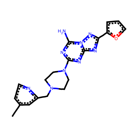 Cc1ccnc(CN2CCN(c3nc(N)n4nc(-c5ccco5)nc4n3)CC2)c1